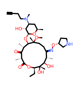 C#CCCN(C)[C@H]1C[C@@H](C)O[C@@H](O[C@@H]2[C@@H](C)C(=O)[C@@H](C)C(=O)O[C@H](CC)[C@@](C)(O)[C@H](O)[C@@H](C)/C(=N/O[C@@H]3CCNC3)CC[C@@]2(C)OC)[C@@H]1O